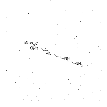 CCCCCCCCCS(=O)(=O)NCCCNCCCCNCCCN